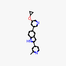 Cc1cc(-c2cc3cc(-c4cncc(OC5CC5)c4)ccc3[nH]2)ccn1